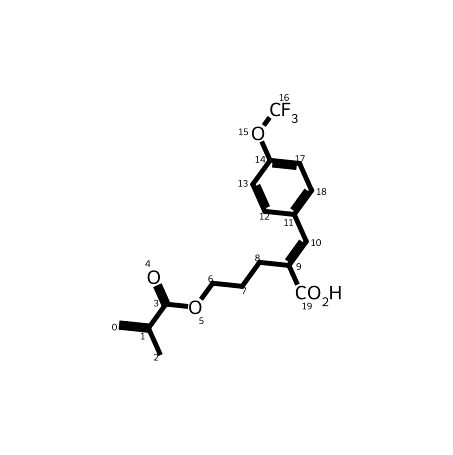 C=C(C)C(=O)OCCCC(=Cc1ccc(OC(F)(F)F)cc1)C(=O)O